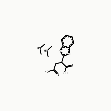 CNC.CNC.OC(=S)CC(C(O)=S)c1nc2ccccc2o1